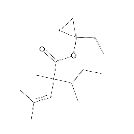 CCC(C)C(C)(C=C(C)C)C(=O)OC1(CC)CC1